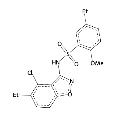 CCc1ccc(OC)c(S(=O)(=O)Nc2noc3ccc(CC)c(Cl)c23)c1